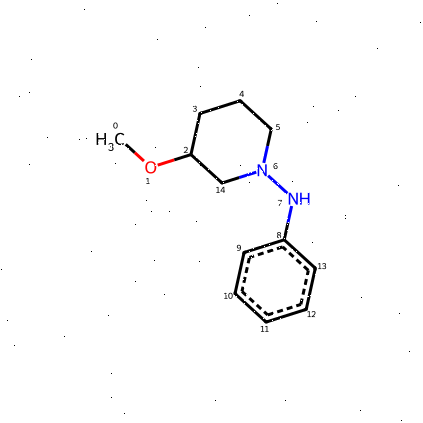 COC1CCCN(Nc2ccccc2)C1